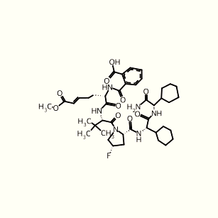 COC(=O)/C=C/CC[C@H](NC(=O)c1ccccc1C(=O)O)C(=O)N[C@H](C(=O)N1C[C@@H](F)C[C@H]1C(=O)N[C@H](C(=O)N[C@H](C(N)=O)C1CCCCC1)C1CCCCC1)C(C)(C)C